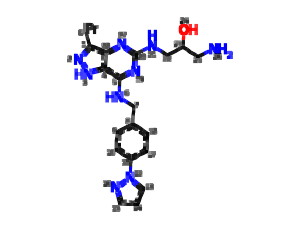 CC(C)c1n[nH]c2c(NCc3ccc(-n4cccn4)cc3)nc(NCC(O)CN)nc12